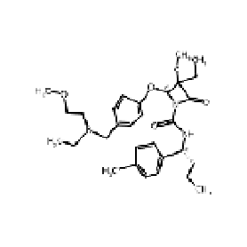 CCC[C@@H](NC(=O)N1C(=O)C(CC)(CC)[C@@H]1Oc1ccc(CN(CC)CCOC)cc1)c1ccc(C)cc1